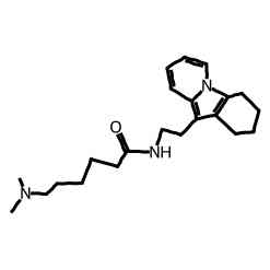 CN(C)CCCCCC(=O)NCCc1c2c(n3ccccc13)CCCC2